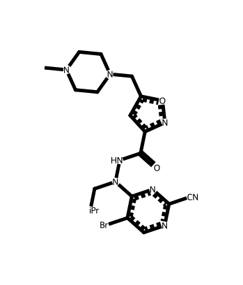 CC(C)CN(NC(=O)c1cc(CN2CCN(C)CC2)on1)c1nc(C#N)ncc1Br